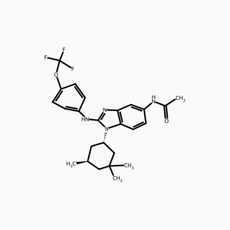 CC(=O)Nc1ccc2c(c1)nc(Nc1ccc(OC(F)(F)F)cc1)n2[C@H]1C[C@H](C)CC(C)(C)C1